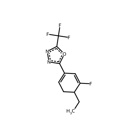 CCC1CC=C(c2nnc(C(F)(F)F)o2)C=C1F